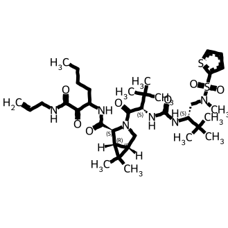 C=CCNC(=O)C(=O)C(CCCC)NC(=O)[C@@H]1[C@@H]2[C@H](CN1C(=O)[C@@H](NC(=O)N[C@H](CN(C)S(=O)(=O)c1cccs1)C(C)(C)C)C(C)(C)C)C2(C)C